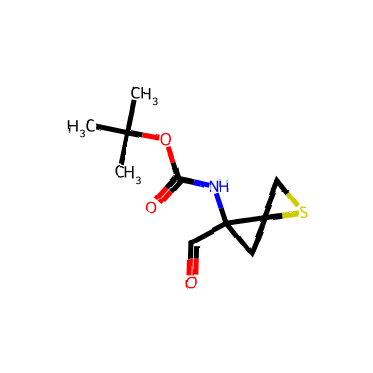 CC(C)(C)OC(=O)NC1(C=O)CC12CS2